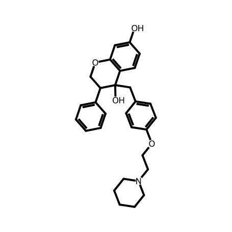 Oc1ccc2c(c1)OCC(c1ccccc1)C2(O)Cc1ccc(OCCN2CCCCC2)cc1